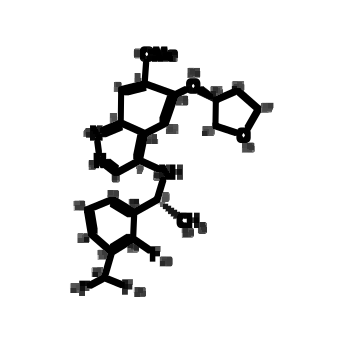 COc1cc2nncc(N[C@H](C)c3cccc(C(F)F)c3F)c2cc1O[C@H]1CCOC1